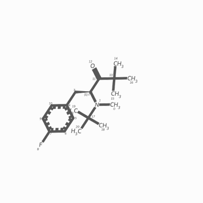 CN([C@@H](Cc1ccc(F)cc1)C(=O)C(C)(C)C)C(C)(C)C